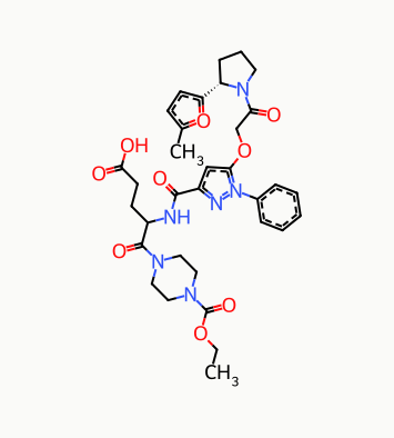 CCOC(=O)N1CCN(C(=O)C(CCC(=O)O)NC(=O)c2cc(OCC(=O)N3CCC[C@H]3c3ccc(C)o3)n(-c3ccccc3)n2)CC1